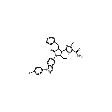 CCC1C(c2nc(C)c(C(N)=O)s2)C(Cc2ccccc2)C(=O)N1c1ccc2c(cnn2-c2ccc(F)cc2)c1